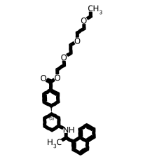 CCOCCOCCOCCOC(=O)C1=CCC([C@H]2CCCC(NC(C)c3cccc4ccccc34)C2)C=C1